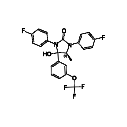 C[C@@H]1N(c2ccc(F)cc2)C(=O)N(c2ccc(F)cc2)C1(O)c1cccc(OC(F)(F)F)c1